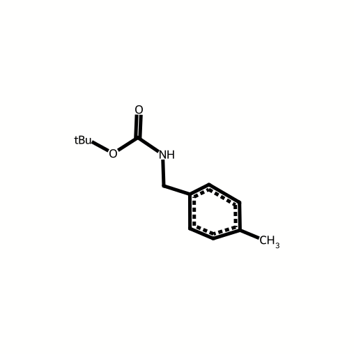 Cc1ccc(CNC(=O)OC(C)(C)C)cc1